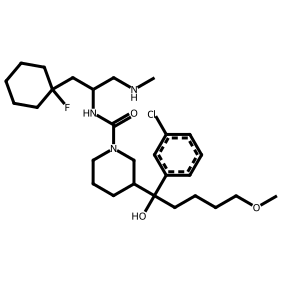 CNCC(CC1(F)CCCCC1)NC(=O)N1CCCC(C(O)(CCCCOC)c2cccc(Cl)c2)C1